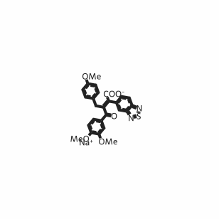 COc1ccc(CC(C(=O)c2ccc(OC)c(OC)c2)=C(C(=O)[O-])c2ccc3nsnc3c2)cc1.[Na+]